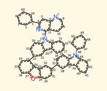 c1ccc(-c2cc3ncccc3c(-n3c4ccccc4c4cc(-c5cccc6oc7ccc(-c8ccc9c(c8)c8ccccc8n9-c8ccccc8)cc7c56)ccc43)n2)cc1